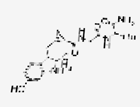 CC[C@H](C)[C@H](NC(=O)CNC(=O)[C@@H]1N=C1CC1c2ccc(O)cc2NC1C)C(N)=O